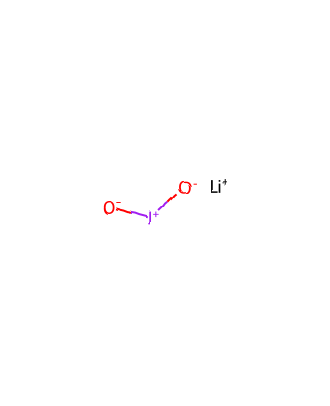 [Li+].[O-][I+][O-]